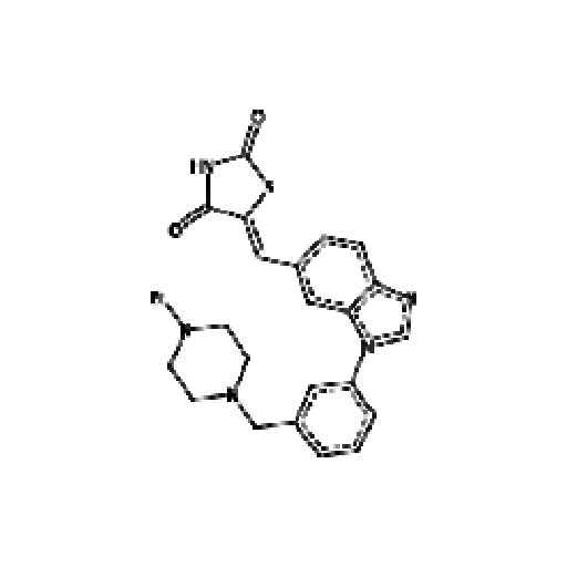 CCN1CCN(Cc2cccc(-n3cnc4ccc(/C=C5\SC(=O)NC5=O)cc43)c2)CC1